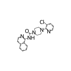 O=C(Nc1nccc2ccccc12)N1CCN(c2ncccc2Cl)CC1